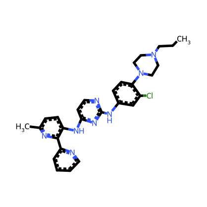 CCCN1CCN(c2ccc(Nc3nccc(Nc4ccc(C)nc4-c4ccccn4)n3)cc2Cl)CC1